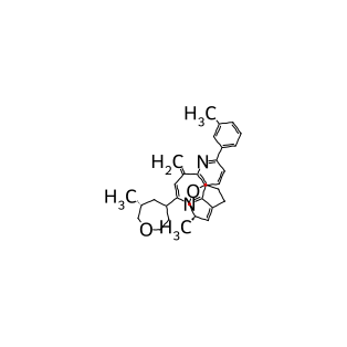 C=C1C=C(C2CCOC[C@H](C)C2)N=C(/C2=C\[C@@H](C)COCCC2)c2ccc(-c3cccc(C)c3)nc21